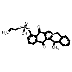 C=CCOP(=O)(O)Oc1cccc2c1C(=O)c1cn3c(c1C2=O)C(C)c1ccccc1C3